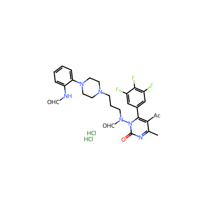 CC(=O)c1c(C)nc(=O)n(N(C=O)CCCN2CCN(c3ccccc3NC=O)CC2)c1-c1cc(F)c(F)c(F)c1.Cl.Cl